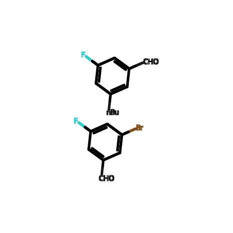 CCCCc1cc(F)cc(C=O)c1.O=Cc1cc(F)cc(Br)c1